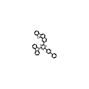 c1ccc(-c2ccc(-c3nc(-c4ccc5ccc6c7ccccc7oc6c5c4)nc(-n4c5ccccc5c5ccccc54)n3)cc2)cc1